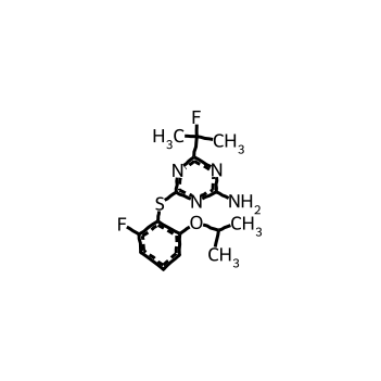 CC(C)Oc1cccc(F)c1Sc1nc(N)nc(C(C)(C)F)n1